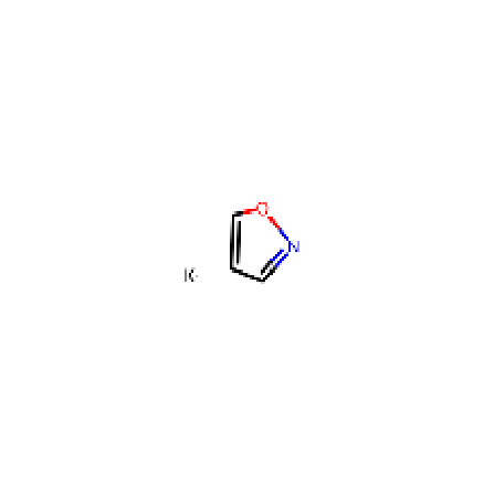 [K].c1cnoc1